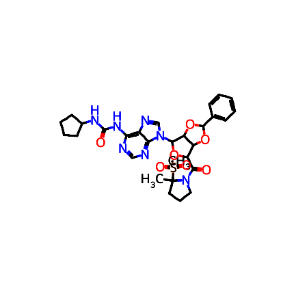 CC1(S(C)(=O)=O)CCCN1C(=O)C1OC(n2cnc3c(NC(=O)NC4CCCC4)ncnc32)C2OC(c3ccccc3)OC12